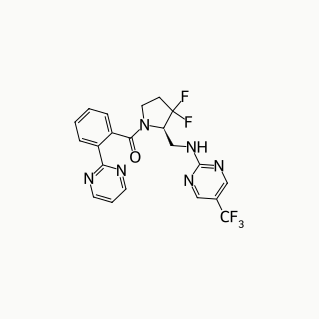 O=C(c1ccccc1-c1ncccn1)N1CCC(F)(F)[C@H]1CNc1ncc(C(F)(F)F)cn1